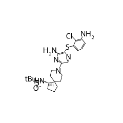 CC(C)(C)[S@@+]([O-])N[C@@H]1CCCC12CCN(c1cnc(Sc3cccc(N)c3Cl)c(N)n1)CC2